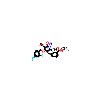 COC(=O)c1cccc(Cc2c(C)[nH]c(=O)c(Br)c2OCc2ccc(F)cc2F)c1